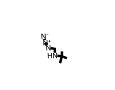 CC(C)(C)NCN=[N+]=[N-]